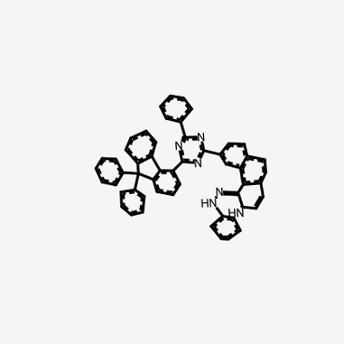 N=C1C=Cc2ccc3ccc(-c4nc(-c5ccccc5)nc(-c5cccc6c5-c5ccccc5C6(c5ccccc5)c5ccccc5)n4)cc3c2/C1=N/Nc1ccccc1